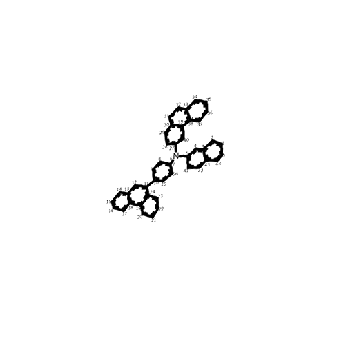 c1ccc2cc(N(c3ccc(-c4cc5ccccc5c5ccccc45)cc3)c3ccc4ccc5ccccc5c4c3)ccc2c1